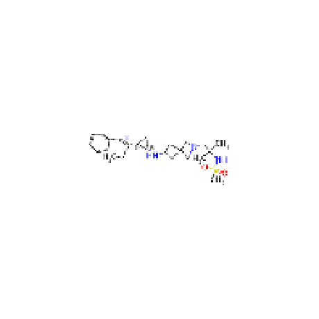 CC/C(=C\c1ccccc1)[C@@H]1C[C@H]1NC1CC2(C1)CN(CC(C)(C)NS(C)(=O)=O)C2